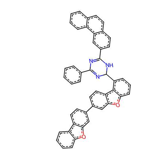 c1ccc(C2=NC(c3cccc4oc5cc(-c6ccc7c(c6)oc6ccccc67)ccc5c34)NC(c3ccc4ccc5ccccc5c4c3)=N2)cc1